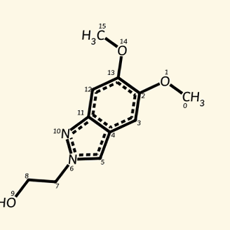 COc1cc2cn(CCO)nc2cc1OC